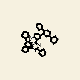 c1ccc(-c2ccc(-c3ccccc3)c(-c3ccc(-n4c5ccccc5c5ccccc54)c(-c4nc(-c5ccccc5)nc(-c5ccccc5)n4)c3)c2)cc1